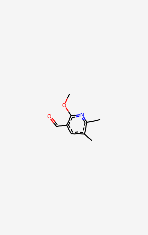 COc1nc(C)c(C)cc1C=O